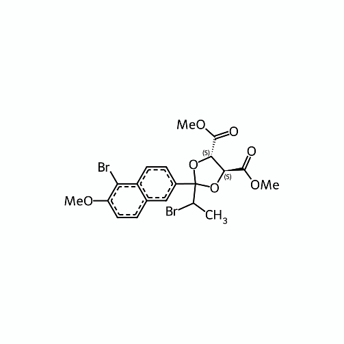 COC(=O)[C@H]1OC(c2ccc3c(Br)c(OC)ccc3c2)(C(C)Br)O[C@@H]1C(=O)OC